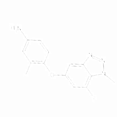 Cc1cc(N)ccc1Oc1cc(F)c2c(c1)nnn2C